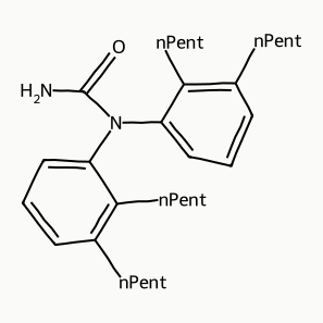 CCCCCc1cccc(N(C(N)=O)c2cccc(CCCCC)c2CCCCC)c1CCCCC